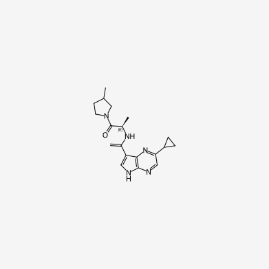 C=C(N[C@H](C)C(=O)N1CCC(C)C1)c1c[nH]c2ncc(C3CC3)nc12